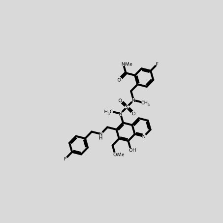 CNC(=O)c1cc(F)ccc1CN(C)S(=O)(=O)N(C)c1c(CNCc2ccc(F)cc2)c(COC)c(O)c2ncccc12